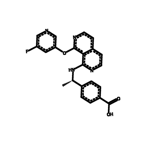 C[C@H](Nc1nccc2ccnc(Oc3cncc(F)c3)c12)c1ccc(C(=O)O)cc1